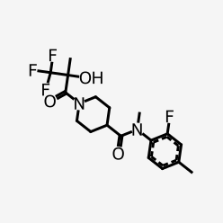 Cc1ccc(N(C)C(=O)C2CCN(C(=O)C(C)(O)C(F)(F)F)CC2)c(F)c1